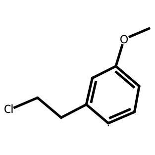 COc1cc[c]c(CCCl)c1